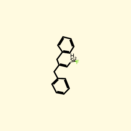 F[SiH2]C=C(Cc1ccccc1)Cc1ccccc1